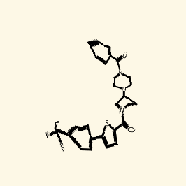 O=C(c1ccccc1)N1CCN(C2CN(C(=O)c3ccc(-c4ccc(C(F)(F)F)cc4)s3)C2)CC1